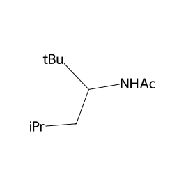 CC(=O)NC(CC(C)C)C(C)(C)C